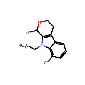 CCC1OCCc2c1n(CC(=O)O)c1c(Cl)cccc21